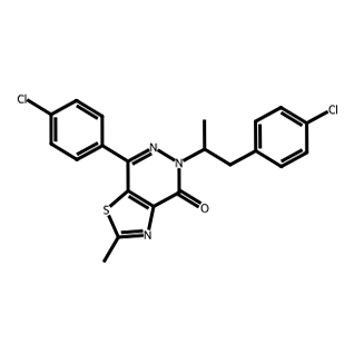 Cc1nc2c(=O)n(C(C)Cc3ccc(Cl)cc3)nc(-c3ccc(Cl)cc3)c2s1